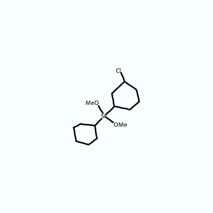 CO[Si](OC)(C1CCCCC1)C1CCCC(Cl)C1